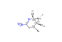 C[C@H]1[C@H]2N=C(N)C[C@H](C)[C@@H]12